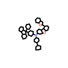 C1CCC(C2CCC(N(C3CCC(C4(C5CCCCC5)C5CCCCC5C5CCCCC54)CC3)C3CCC4C(C3)OC3CCCC(C5CC6CCCCC6O5)C34)CC2)CC1